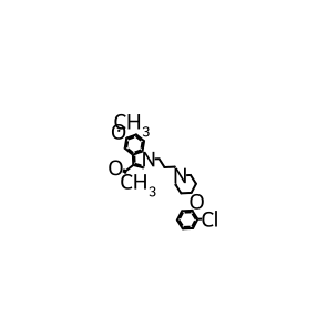 COc1ccc2c(c1)c(C(C)=O)cn2CCCN1CCC(Oc2ccccc2Cl)CC1